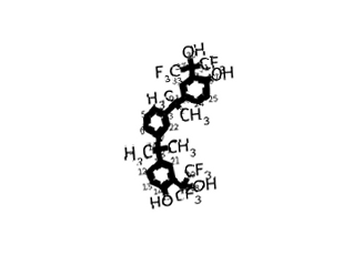 CC(C)(c1cccc(C(C)(C)c2ccc(O)c(C(O)(C(F)(F)F)C(F)(F)F)c2)c1)c1ccc(O)c(C(O)(C(F)(F)F)C(F)(F)F)c1